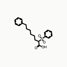 O=C(O)C(CCCCCCc1ccccc1)S(=O)(=O)c1ccccc1